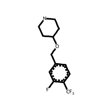 Fc1cc(COC2CC[N]CC2)ccc1C(F)(F)F